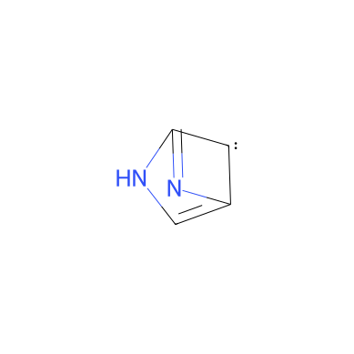 [C]1c2c[nH]c1n2